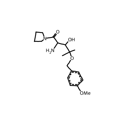 COc1ccc(COC(C)(C)C(O)C(N)C(=O)N2CCCC2)cc1